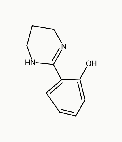 Oc1ccccc1C1=NCCCN1